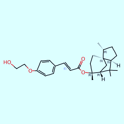 C[C@@H]1CC[C@H]2C(C)(C)[C@H]3C[C@@]12CC[C@@]3(C)OC(=O)/C=C/c1ccc(OCCO)cc1